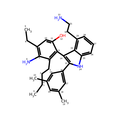 CCCCc1c(N)c(CC)cc(O)c1-c1c(-c2cc(C)cc(C)c2)[nH]c2cccc(CCN)c12